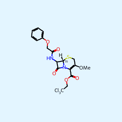 COC1=C(C(=O)OCC(Cl)(Cl)Cl)N2C(=O)C(NC(=O)COc3ccccc3)[C@@H]2SC1